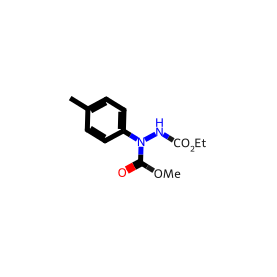 CCOC(=O)NN(C(=O)OC)c1ccc(C)cc1